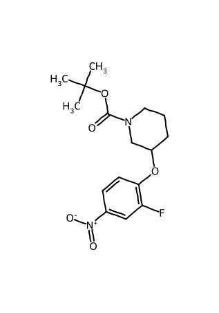 CC(C)(C)OC(=O)N1CCCC(Oc2ccc([N+](=O)[O-])cc2F)C1